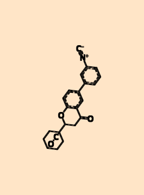 [C-]#[N+]c1cccc(-c2ccc3c(c2)C(=O)CC(C24CCC(CC2)OC4)O3)c1